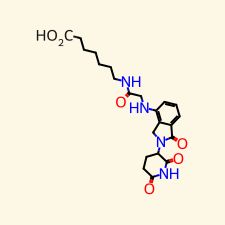 O=C(O)CCCCCCNC(=O)CNc1cccc2c1CN(C1CCC(=O)NC1=O)C2=O